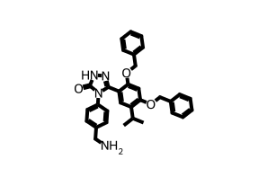 CC(C)c1cc(-c2n[nH]c(=O)n2-c2ccc(CN)cc2)c(OCc2ccccc2)cc1OCc1ccccc1